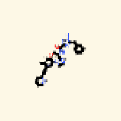 C=C/C(C#Cc1ccccn1)=C\C1=C(C)OC[C@H](NC(=O)c2n[nH]c(Cc3ccccc3)n2)c2nccn21